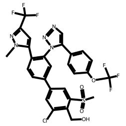 Cn1nc(C(F)(F)F)cc1-c1ccc(-c2cc(Cl)c(CO)c(S(C)(=O)=O)c2)cc1-n1nncc1-c1ccc(OC(F)(F)F)cc1